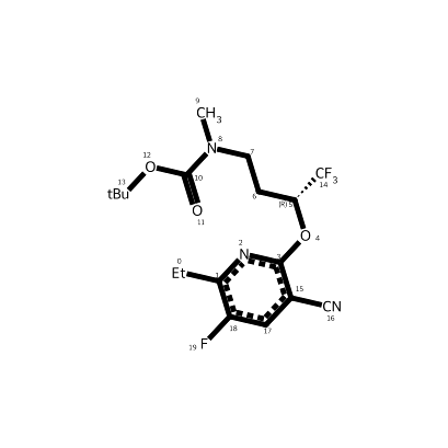 CCc1nc(O[C@H](CCN(C)C(=O)OC(C)(C)C)C(F)(F)F)c(C#N)cc1F